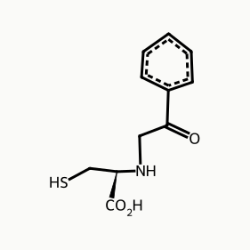 O=C(CN[C@H](CS)C(=O)O)c1ccccc1